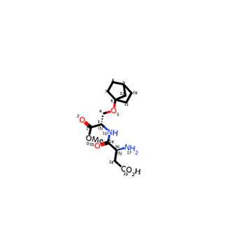 COC(=O)[C@H](COC12CCC(CC1)C2)NC(=O)[C@@H](N)CC(=O)O